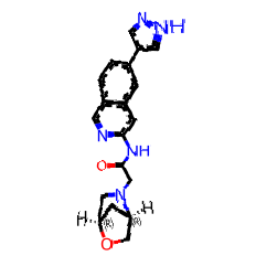 O=C(CN1C[C@H]2C[C@@H]1CO2)Nc1cc2cc(-c3cn[nH]c3)ccc2cn1